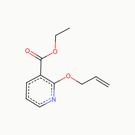 C=CCOc1ncccc1C(=O)OCC